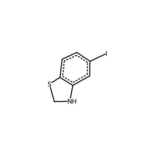 Ic1ccc2c(c1)NCS2